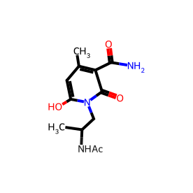 CC(=O)NC(C)Cn1c(O)cc(C)c(C(N)=O)c1=O